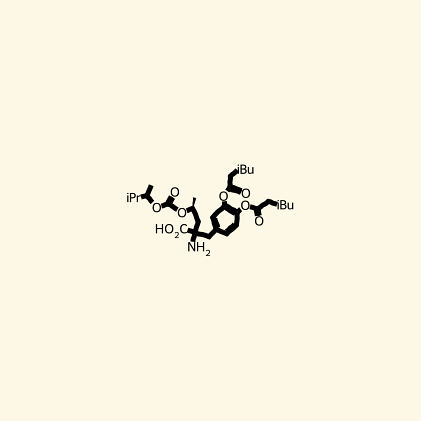 CCC(C)CC(=O)Oc1ccc(CC(N)(C[C@H](C)OC(=O)OC(C)C(C)C)C(=O)O)cc1OC(=O)CC(C)CC